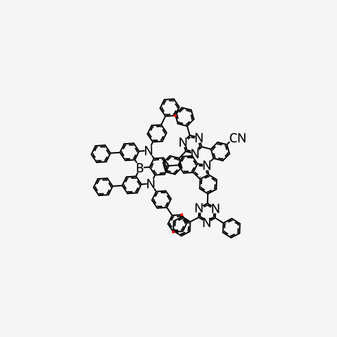 N#Cc1ccc(-n2c3ccc(-c4cc5c6c(c4)N(c4ccc(-c7ccccc7)cc4)c4ccc(-c7ccccc7)cc4B6c4cc(-c6ccccc6)ccc4N5c4ccc(-c5ccccc5)cc4)cc3c3cc(-c4nc(-c5ccccc5)nc(-c5ccccc5)n4)ccc32)c(-c2nc(-c3ccccc3)nc(-c3ccccc3)n2)c1